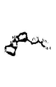 N=C/C(N)=C(N)\C=C/Cc1ccc2[nH]c3nc4cnccc4nc3c2c1